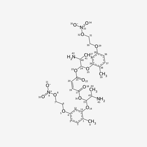 Cc1ccc(OCCO[N+](=O)[O-])cc1OC(OC(=O)/C=C\C(=O)OC(Oc1cc(OCCO[N+](=O)[O-])ccc1C)C(C)N)C(C)N